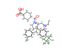 CCN1CC2N(C(=O)[C@H]3CC[C@H](C(=O)O)CC3)CCC2(Cc2cccc(F)c2)c2ccc(C(C)(F)C(F)(F)F)cc21